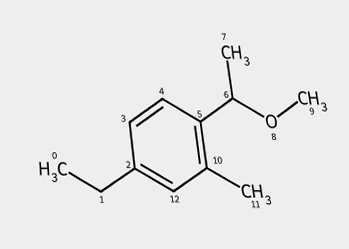 CCc1ccc(C(C)OC)c(C)c1